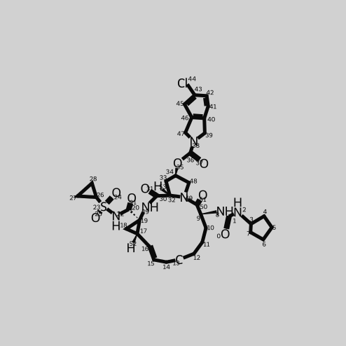 O=C(NC1CCCC1)N[C@H]1CCCCC/C=C/[C@@H]2C[C@@]2(C(=O)NS(=O)(=O)C2CC2)NC(=O)[C@@H]2C[C@@H](OC(=O)N3Cc4ccc(Cl)cc4C3)CN2C1=O